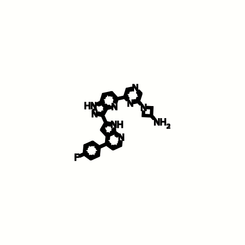 NC1CN(c2cncc(-c3ccc4[nH]nc(-c5cc6c(-c7ccc(F)cc7)ccnc6[nH]5)c4n3)n2)C1